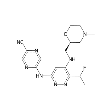 CC(F)c1nnc(Nc2cnc(C#N)cn2)cc1NC[C@@H]1CN(C)CCO1